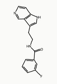 O=C(NCCc1c[nH]c2ccncc12)c1cccc(F)c1